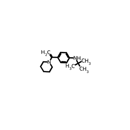 C=C(c1ccc(NC(C)(C)C)cc1)N1CCCCC1